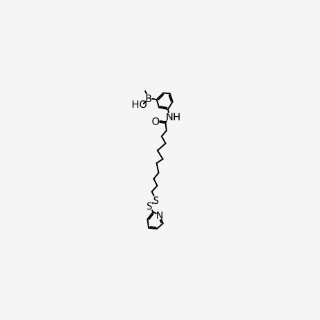 CB(O)c1cccc(NC(=O)CCCCCCCCCCSSc2ccccn2)c1